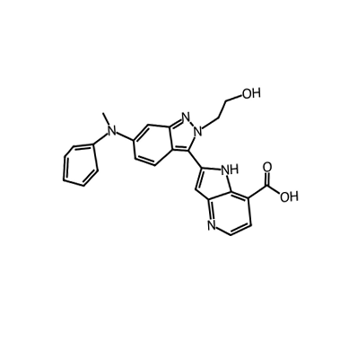 CN(c1ccccc1)c1ccc2c(-c3cc4nccc(C(=O)O)c4[nH]3)n(CCO)nc2c1